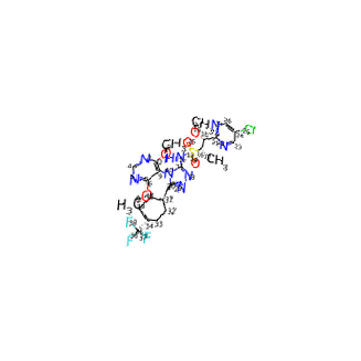 COc1ncnc(OC)c1-n1c(NS(=O)(=O)[C@@H](C)[C@H](OC)c2ncc(Cl)cn2)nnc1[C@H]1CC[C@H](C(F)(F)F)CC1